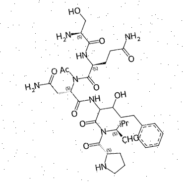 CC(=O)N(C(=O)[C@H](CCC(N)=O)NC(=O)[C@@H](N)CO)[C@@H](CC(N)=O)C(=O)NC(C(=O)N(C(=O)[C@@H]1CCCN1)[C@H]([C]=O)C(C)C)C(O)CCc1ccccc1